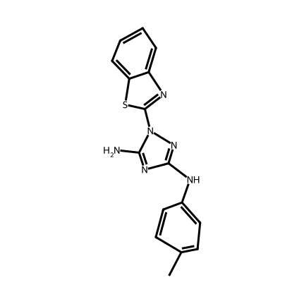 Cc1ccc(Nc2nc(N)n(-c3nc4ccccc4s3)n2)cc1